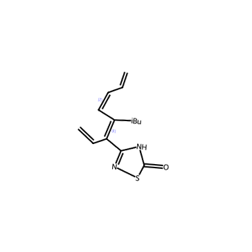 C=C/C=C\C(=C(/C=C)c1nsc(=O)[nH]1)C(C)CC